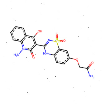 NC(=O)COc1ccc2c(c1)S(=O)(=O)N=C(c1c(O)c3ccccc3n(N)c1=O)N2